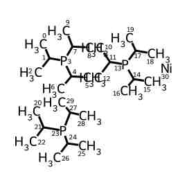 CC(C)P(C(C)C)C(C)C.CC(C)P(C(C)C)C(C)C.CC(C)P(C(C)C)C(C)C.[Ni]